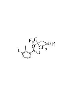 O=C(OC(CS(=O)(=O)O)(C(F)(F)F)C(F)(F)F)c1cccc(I)c1I